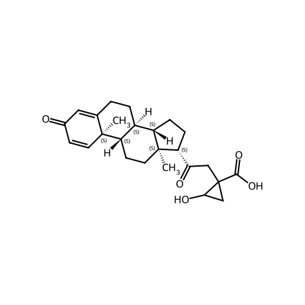 C[C@]12CC[C@H]3[C@@H](CCC4=CC(=O)C=C[C@@]43C)[C@@H]1CC[C@@H]2C(=O)CC1(C(=O)O)CC1O